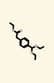 CCOC(=O)Cc1ccc(C(OCC)OCC)cc1